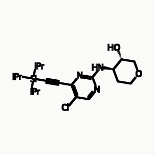 CC(C)[Si](C#Cc1nc(N[C@@H]2CCOC[C@H]2O)ncc1Cl)(C(C)C)C(C)C